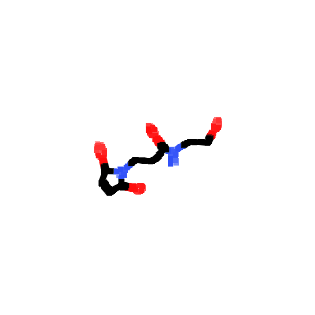 O=CCNC(=O)CCN1C(=O)C=CC1=O